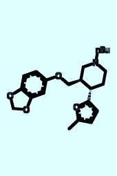 CCCCN1CC[C@H](c2ccc(C)o2)[C@@H](COc2ccc3c(c2)OCO3)C1